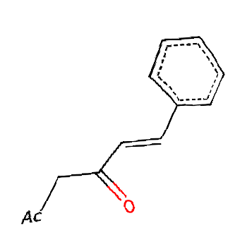 CC(=O)CC(=O)C=Cc1ccccc1